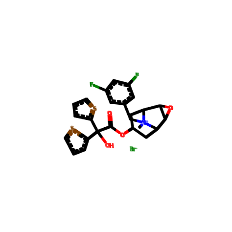 C[N+]1(Cc2cc(F)cc(F)c2)C2CC(OC(=O)C(O)(c3cccs3)c3cccs3)CC1C1OC12.[Br-]